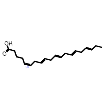 CCC=CCC=CCC=CCC=CC/C=C\CCCC(=O)O